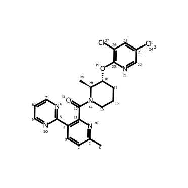 Cc1ccc(-c2ncccn2)c(C(=O)N2CCC[C@@H](Oc3ncc(C(F)(F)F)cc3Cl)[C@@H]2C)n1